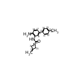 C=C1CN(C(=O)Nc2cc(-c3ccc(C)cc3)ccc2N)C1